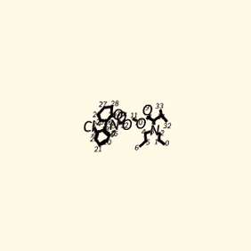 CCCN(CCC)C(C(=O)OCOC(=O)N(C)[C@]1(c2ccccc2Cl)CCCCC1=O)C(C)C